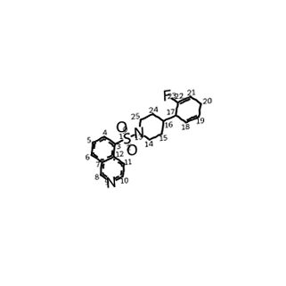 O=S(=O)(c1cccc2cnccc12)N1CCC(C2C=CCC=C2F)CC1